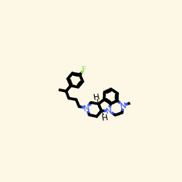 CC(CCCN1CC[C@H]2[C@@H](C1)c1cccc3c1N2CCN3C)c1ccc(F)cc1